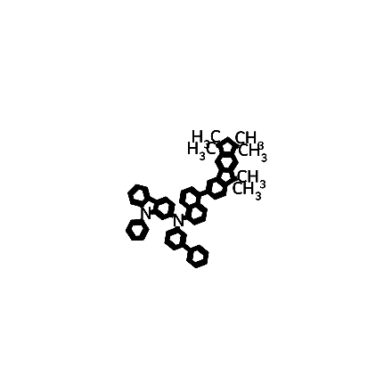 CC1(C)CC(C)(C)c2cc3c(cc21)-c1cc(-c2cccc4c(N(c5cccc(-c6ccccc6)c5)c5ccc6c7ccccc7n(-c7ccccc7)c6c5)cccc24)ccc1C3(C)C